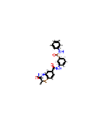 CC1Sc2ccc(C(=O)Nc3cccc([S+]([O-])Nc4ccccc4)c3)cc2NC1=O